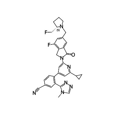 Cn1cnnc1-c1cc(C#N)ccc1-c1cc(C2CC2)nc(N2Cc3c(F)cc(CN4CCC[C@H]4CF)cc3C2=O)c1